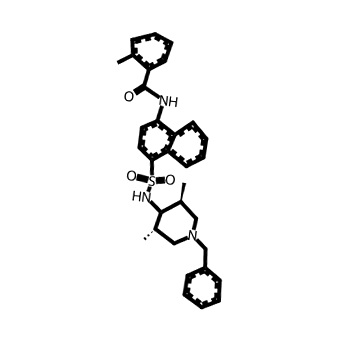 Cc1ccccc1C(=O)Nc1ccc(S(=O)(=O)NC2[C@@H](C)CN(Cc3ccccc3)C[C@@H]2C)c2ccccc12